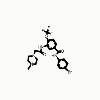 CN1CCN(CC(=O)Nc2cc(C(=O)Nc3ccc(Br)cc3)ccc2OC(F)(F)F)CC1